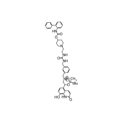 CC(C)(C)[Si](C)(C)OC(CNCc1cccc(CNC(=O)NCCN2CCC(OC(=O)Nc3ccccc3-c3ccccc3)CC2)c1)c1ccc(O)c2[nH]c(=O)ccc12